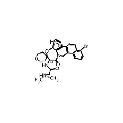 CN[C@@H](C)C(=O)N[C@@H]1C(=O)N(Cc2c(OC)ccc3c(Br)cccc23)c2ccccc2OC12CCOCC2